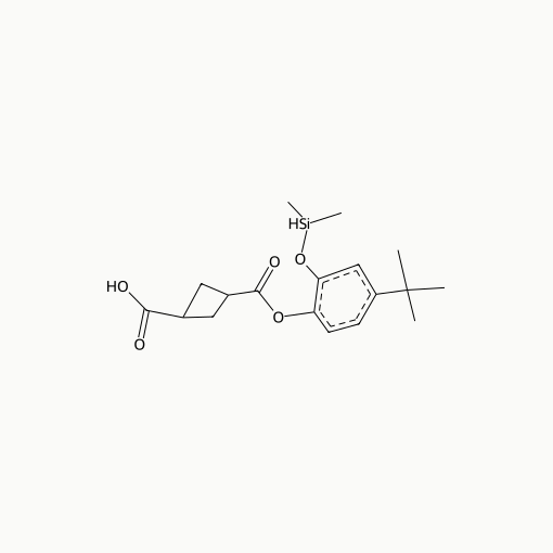 C[SiH](C)Oc1cc(C(C)(C)C)ccc1OC(=O)C1CC(C(=O)O)C1